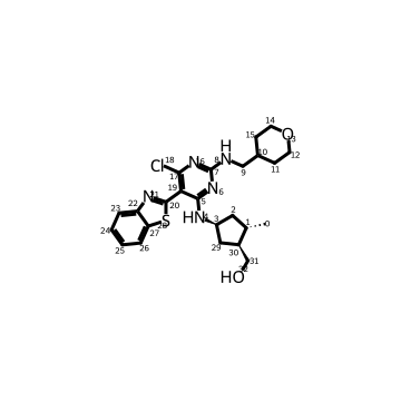 C[C@H]1C[C@H](Nc2nc(NCC3CCOCC3)nc(Cl)c2-c2nc3ccccc3s2)C[C@@H]1CO